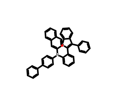 c1ccc(-c2ccc(N(c3ccc4ccccc4c3)c3ccccc3-c3oc4ccccc4c3-c3ccccc3)cc2)cc1